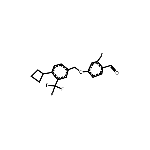 O=Cc1ccc(OCc2ccc(C3CCC3)c(C(F)(F)F)c2)cc1F